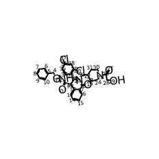 O=C(NOCc1ccccc1)[C@@H]1c2ccccc2C(=O)N(CC2CCN(C(=O)CO)CC2)[C@H]1c1ccc(Cl)cc1Cl